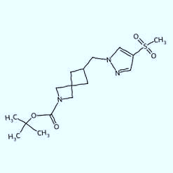 CC(C)(C)OC(=O)N1CC2(CC(Cn3cc(S(C)(=O)=O)cn3)C2)C1